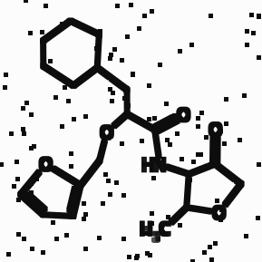 CC1OCC(=O)C1NC(=O)C(CC1CCCCC1)OCc1ccco1